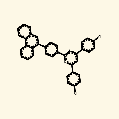 Clc1ccc(-c2cc(-c3ccc(Cl)cc3)nc(-c3ccc(-c4cc5ccccc5c5ccccc45)cc3)n2)cc1